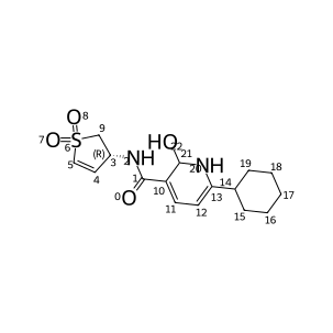 O=C(N[C@@H]1C=CS(=O)(=O)C1)C1=CC=C(C2CCCCC2)NC1O